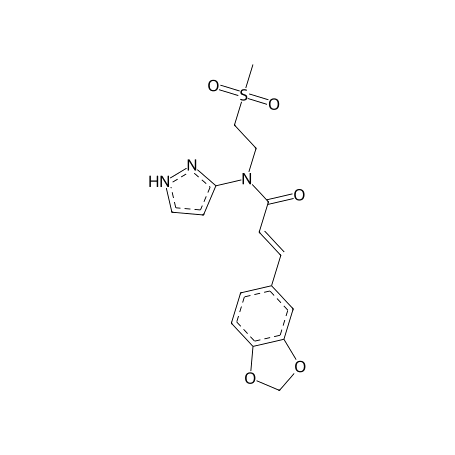 CS(=O)(=O)CCN(C(=O)/C=C/c1ccc2c(c1)OCO2)c1cc[nH]n1